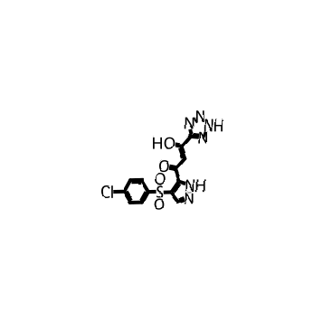 O=C(C=C(O)c1nn[nH]n1)c1[nH]ncc1S(=O)(=O)c1ccc(Cl)cc1